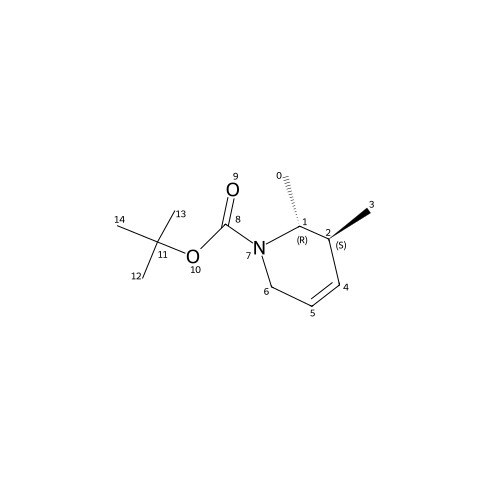 C[C@@H]1[C@@H](C)C=CCN1C(=O)OC(C)(C)C